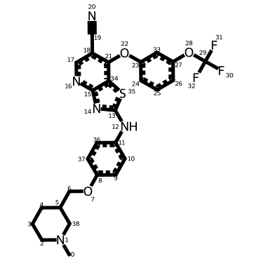 CN1CCCC(COc2ccc(Nc3nc4ncc(C#N)c(Oc5cccc(OC(F)(F)F)c5)c4s3)cc2)C1